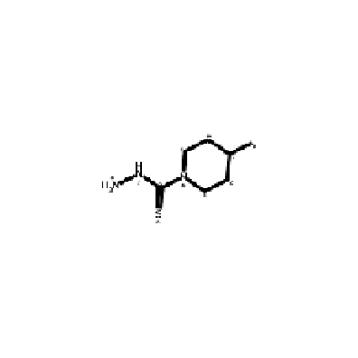 CC1CCN(C(=S)NN)CC1